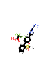 CS(=O)(=O)c1ccccc1-c1ccc(-c2cnc(N)nc2)c(F)c1.O=C(O)C(F)(F)F